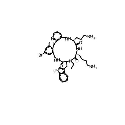 CCN1C(=O)[C@H](CCCCN)NC(=O)[C@H](CCCN)NCc2cccnc2Sc2c(C)cc(Br)cc2CNC(=O)[C@@H]1Cc1c[nH]c2ccccc12